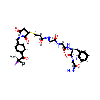 CCC(I)(NC)C(=O)C1CCC(CN2C(=O)CC(SCCC(=O)NCC(=O)NCC(=O)N[C@@H](Cc3ccccc3)C(=O)NCC(N)=O)C2=O)CC1